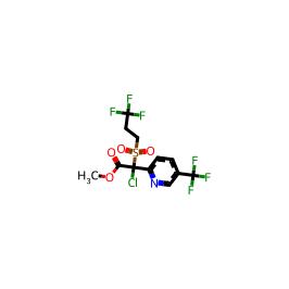 COC(=O)C(Cl)(c1ccc(C(F)(F)F)cn1)S(=O)(=O)CCC(F)(F)F